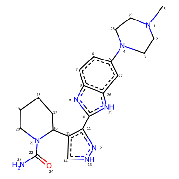 CN1CCN(c2ccc3nc(-c4n[nH]cc4C4CCCCN4C(N)=O)[nH]c3c2)CC1